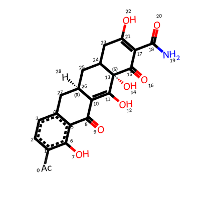 CC(=O)c1ccc2c(c1O)C(=O)C1=C(O)[C@]3(O)C(=O)C(C(N)=O)=C(O)CC3C[C@@H]1C2